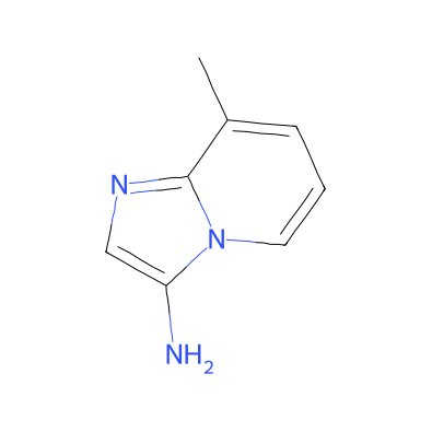 Cc1cccn2c(N)cnc12